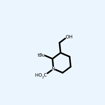 CC(C)(C)C1C(CO)CCCN1C(=O)O